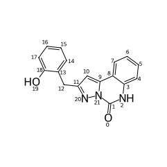 O=c1[nH]c2ccccc2c2cc(Cc3ccccc3O)nn12